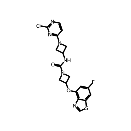 O=C(NC1CN(c2ccnc(Cl)n2)C1)N1CC(Oc2cc(F)cc3scnc23)C1